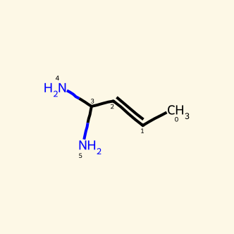 CC=CC(N)N